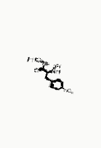 CCCNC(Cc1ccc([N+](=O)[O-])cc1)C(=O)NO